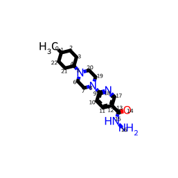 CC1CCC(N2CCN(c3ccc(C(=O)NN)cn3)CC2)CC1